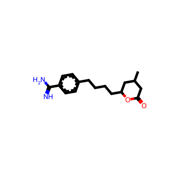 CC1CC(=O)OC(CCCCc2ccc(C(=N)N)cc2)C1